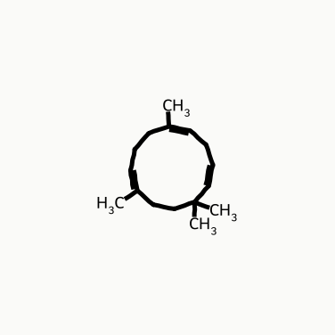 CC1=CCC=CC(C)(C)CCC(C)=CCC1